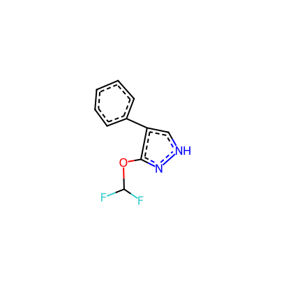 FC(F)Oc1n[nH]cc1-c1ccccc1